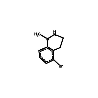 CN1NCCc2c(Br)cccc21